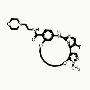 Cn1ncc2c1OCCCCCCOc1cc(ccc1C(=O)NCCN1CCOCC1)Nc1ncc(F)c-2n1